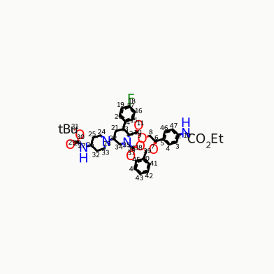 CCOC(=O)Nc1ccc(C(=O)COC(=O)C2C(c3ccc(F)cc3)CC(N3CCC(NC(=O)OC(C)(C)C)CC3)CN2C(=O)OCc2ccccc2)cc1